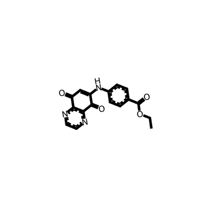 CCOC(=O)c1ccc(NC2=CC(=O)c3nccnc3C2=O)cc1